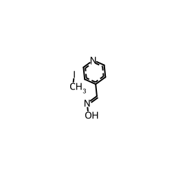 CI.ON=Cc1ccncc1